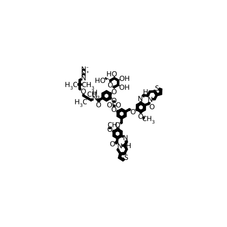 COc1cc2c(cc1OCc1cc(COc3cc4c(cc3OC)C(=O)N3Cc5ccsc5C[C@H]3C=N4)cc(OS(=O)(=O)Oc3cc(C(=O)NCC(C)(C)COCC(C)(C)CN=[N+]=[N-])ccc3O[C@@H]3O[C@H](CO)[C@H](O)[C@H](O)[C@H]3O)c1)N=C[C@@H]1Cc3sccc3CN1C2=O